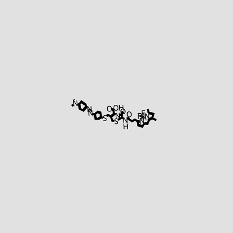 Cc1cc(C)n2c1C=C1C=CC(CCC(=O)NC3C(=O)N4C(C(=O)O)=C(CSc5ccc(N=Nc6ccc(N(C)C)cc6)cc5)CSC34)=[N+]1[B-]2(F)F